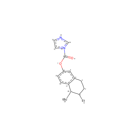 CCC1CCc2cc(OC(=O)n3ccnc3)ccc2C1C(C)(C)C